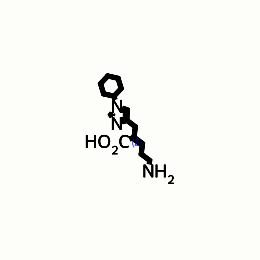 NCC/C=C(/Cc1cn(C2CCCCC2)cn1)C(=O)O